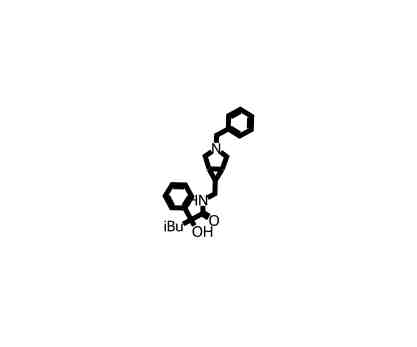 CCC(C)C(O)(C(=O)NCC1C2CN(Cc3ccccc3)CC12)c1ccccc1